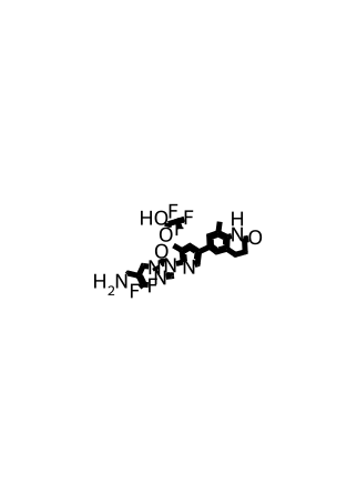 Cc1cc(-c2cc(C)c3c(c2)CCC(=O)N3)cnc1-n1cnn(CC(CN)=C(F)F)c1=O.O=C(O)C(F)(F)F